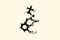 CC(Cl)(Cl)C(=O)NC1Cc2cccc(C(=O)O)c2OB1O